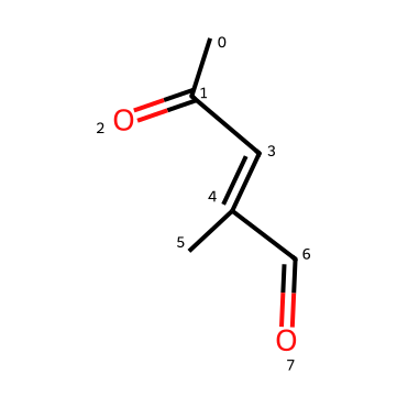 CC(=O)/C=C(\C)C=O